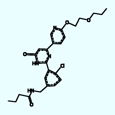 CCCOCCOc1ccc(-c2cc(=O)[nH]c(-c3cc(CNC(=O)CCC)ccc3Cl)n2)cn1